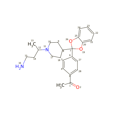 CC(=O)c1ccc(C2(C3CCN(C(C)CCN)CC3)Oc3ccccc3O2)cc1